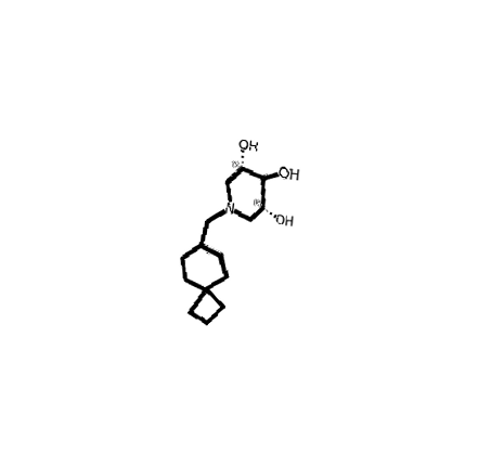 OC1[C@H](O)CN(CC2CCC3(CCC3)CC2)C[C@@H]1O